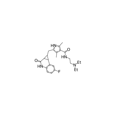 CCN(CC)CCNC(=O)c1c(C)[nH]c(CC2C3C(=O)Nc4ccc(F)cc4C23)c1C